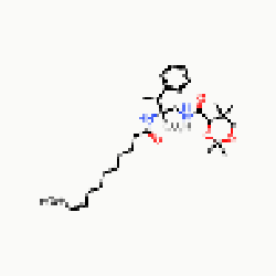 CCCCCCCC/C=C\CCCCCCCC(=O)NC(CNC(=O)C1OC(C)(C)OCC1(C)C)(C(=O)O)C(C)c1ccccc1